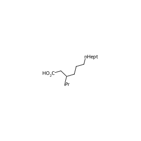 CCCCCCCCCCC(CC(=O)O)C(C)C